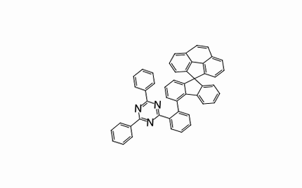 c1ccc(-c2nc(-c3ccccc3)nc(-c3ccccc3-c3cccc4c3-c3ccccc3C43c4cccc5ccc6cccc3c6c45)n2)cc1